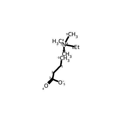 CCCC(=O)[O-].CC[N+](C)(C)C